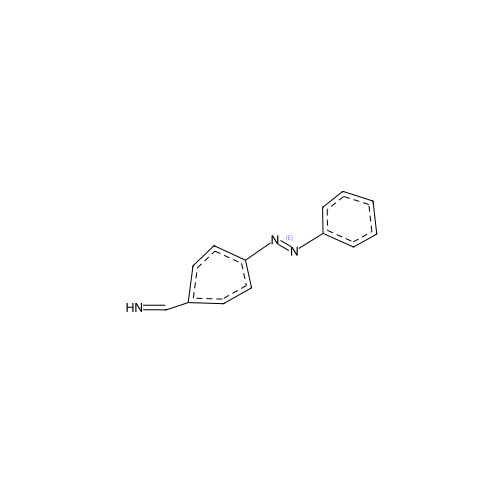 N=Cc1ccc(/N=N/c2ccccc2)cc1